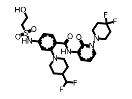 O=C(Nc1cccn(N2CCC(F)(F)CC2)c1=O)c1ccc(NS(=O)(=O)CCO)cc1N1CCC(C(F)F)CC1